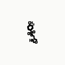 Cc1ccc(S(=O)(=O)OCC2COCN2)cc1